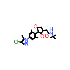 Cc1cc(-n2ncc(Cl)c2C)cc(C)c1C1C(=O)CC(CC(=O)NC(C)(C)C)C1=O